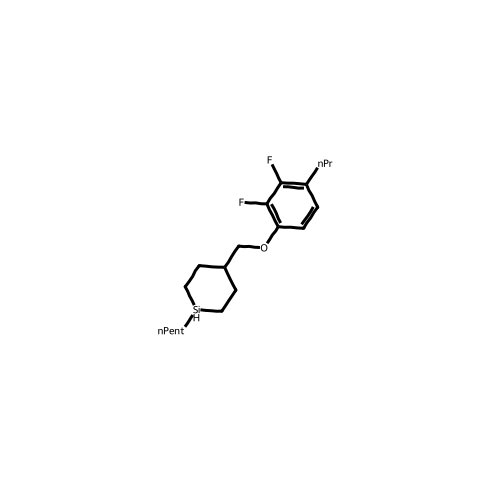 CCCCC[SiH]1CCC(COc2ccc(CCC)c(F)c2F)CC1